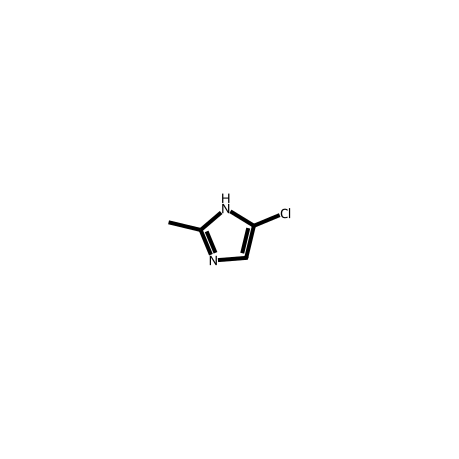 Cc1ncc(Cl)[nH]1